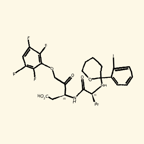 CC(C)[C@H](NC1(c2ccccc2I)CCCCO1)C(=O)N[C@@H](CC(=O)O)C(=O)COc1c(F)c(F)cc(F)c1F